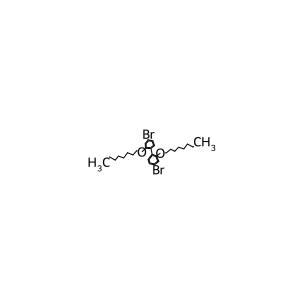 CCCCCCCCOc1cc(Br)ccc1-c1ccc(Br)cc1OCCCCCCCC